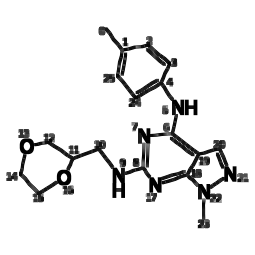 Cc1ccc(Nc2nc(NCC3COCCO3)nc3c2cnn3C)cc1